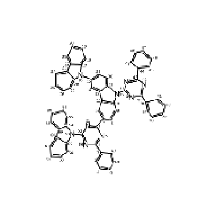 c1ccc(-c2nc(-c3ccc4c(c3)c3cc(-n5c6ccccc6c6ccccc65)ccc3n4-c3nc(-c4ccccc4)nc(-c4ccccc4)n3)nc(-n3c4ccccc4c4ccccc43)n2)cc1